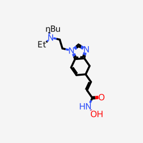 CCCCN(CC)CCn1cnc2c1C=CC(/C=C/C(=O)NO)C2